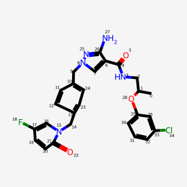 CC(CNC(=O)c1cn(Cc2ccc(Cn3cc(F)ccc3=O)cc2)nc1N)Oc1cccc(Cl)c1